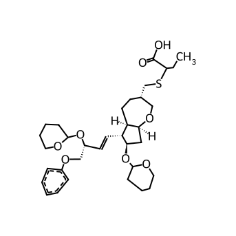 CCC(SC[C@H]1CC[C@@H]2[C@@H](C=C[C@H](COc3ccccc3)OC3CCCCO3)[C@H](OC3CCCCO3)C[C@@H]2OC1)C(=O)O